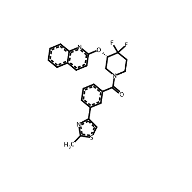 Cc1nc(-c2cccc(C(=O)N3CCC(F)(F)[C@@H](Oc4ccc5ccccc5n4)C3)c2)cs1